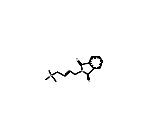 C[Si](C)(C)C/C=C/CN1C(=O)c2ccccc2C1=O